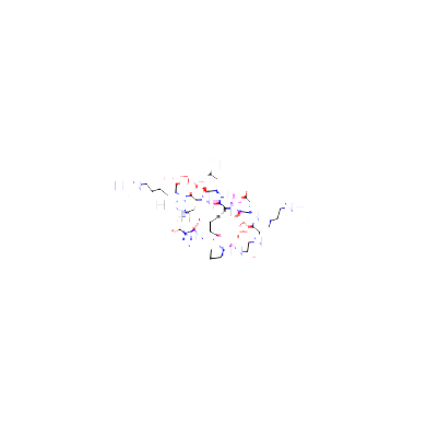 CC[C@H](C)[C@H](NC(=O)[C@@H](N)CO)C(=O)N1CCC[C@H]1C(=O)N[C@@H](CO)C(=O)N[C@@H](CCCCN)C(=O)N[C@@H](CC(=O)O)C(=O)N[C@@H](C)C(=O)N[C@@H](CC(C)C)C(=O)N[C@@H](CC(C)C)C(=O)N[C@@H](CCCCN)C(=O)O